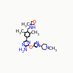 Cc1cc(-c2cnc(N)c(Oc3cnn(C4CCN(C)CC4)c3)n2)cc(C)c1CNC1(C)COC1